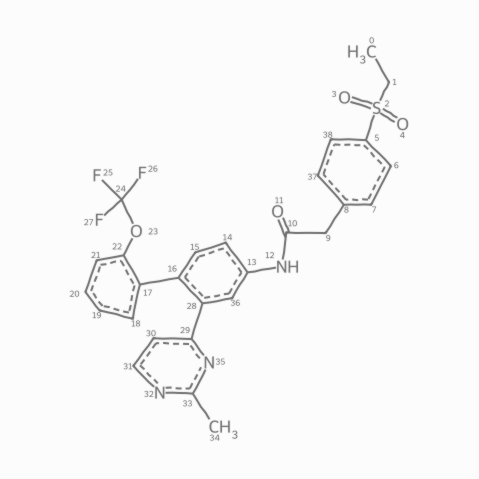 CCS(=O)(=O)c1ccc(CC(=O)Nc2ccc(-c3ccccc3OC(F)(F)F)c(-c3ccnc(C)n3)c2)cc1